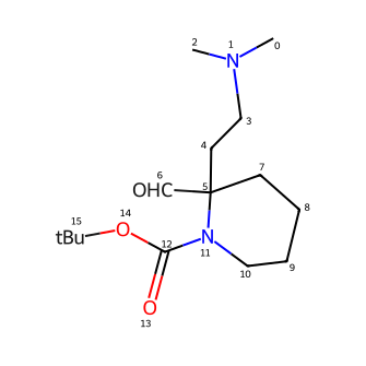 CN(C)CCC1(C=O)CCCCN1C(=O)OC(C)(C)C